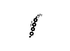 C=C[C@H]1CC[C@H](c2ccc(-c3ccc(-c4ccc(COCCC)cc4)c(F)c3F)cc2)CC1